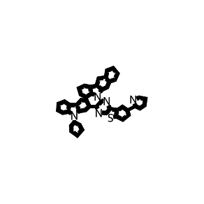 c1ccc(-n2c3ccccc3c3ccc(-c4nc5sc6ccc(-c7ccccn7)cc6c5nc4-n4c5ccccc5c5cc6ccccc6cc54)cc32)cc1